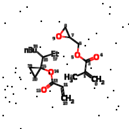 C=C(C)C(=O)OCC1CO1.C=CC(=O)OC1(C(CC)CCCC)CC1